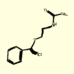 CC(C)COC(=O)NCCOC(=O)c1ccccc1